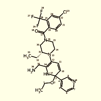 CCOC1(c2cccnc2)C=CC(N2CCN(C(=O)c3ccc(Cl)cc3C(F)(F)F)C[C@H]2CC)=C(CN)N1